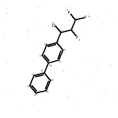 FC(F)C(F)C(Cl)c1ccc(-c2ccccc2)cc1